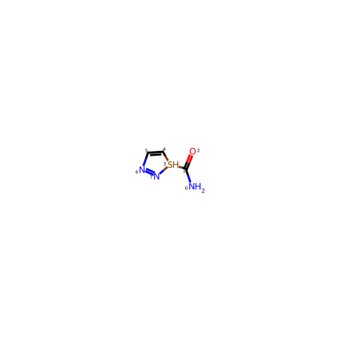 NC(=O)[SH]1C=CN=N1